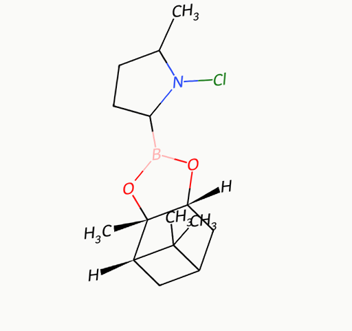 CC1CCC(B2O[C@@H]3CC4C[C@@H](C4(C)C)[C@]3(C)O2)N1Cl